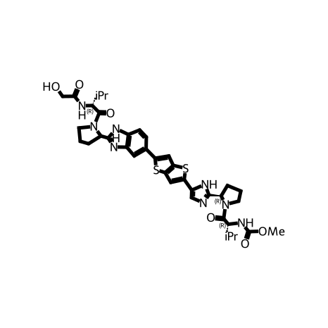 COC(=O)N[C@@H](C(=O)N1CCC[C@@H]1c1ncc(-c2cc3sc(-c4ccc5[nH]c(C6CCCN6C(=O)[C@H](NC(=O)CO)C(C)C)nc5c4)cc3s2)[nH]1)C(C)C